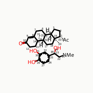 CC(=O)[C@H]1CC[C@H]2[C@@H]3CCC4=CC(=O)CC[C@]4(C)[C@H]3CC[C@]12C.CNC[C@H](O)c1ccc(O)c(O)c1